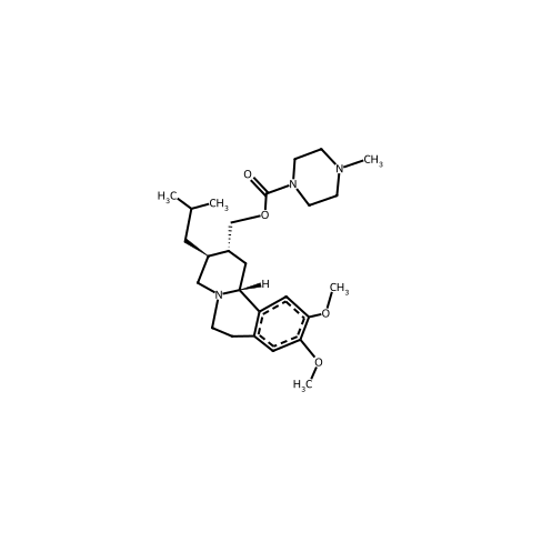 COc1cc2c(cc1OC)[C@H]1C[C@@H](COC(=O)N3CCN(C)CC3)[C@H](CC(C)C)CN1CC2